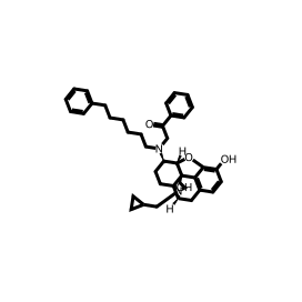 O=C(CN(CCCCCCc1ccccc1)[C@@H]1CC[C@@]2(O)[C@H]3Cc4ccc(O)c5c4[C@@]2(CCN3CC2CC2)[C@H]1O5)c1ccccc1